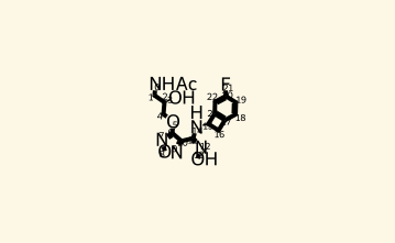 CC(=O)NC[C@H](O)COc1nonc1/C(=N\O)N[C@H]1Cc2ccc(F)cc21